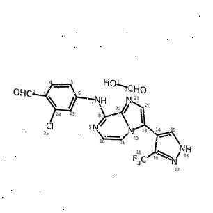 O=CO.O=Cc1ccc(Nc2nccn3c(-c4c[nH]nc4C(F)(F)F)cnc23)cc1Cl